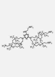 CC(C)(CCN)OCCC(C)(C)OCCN(CCOC(C)(C)CCO)c1nc(NCCN)nc(N(CCOC(C)(C)CCOC(C)(C)CCN)CCOC(C)(C)CCOC(C)(C)CCN)n1